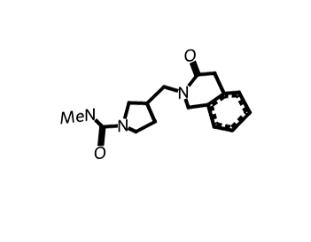 CNC(=O)N1CCC(CN2Cc3ccccc3CC2=O)C1